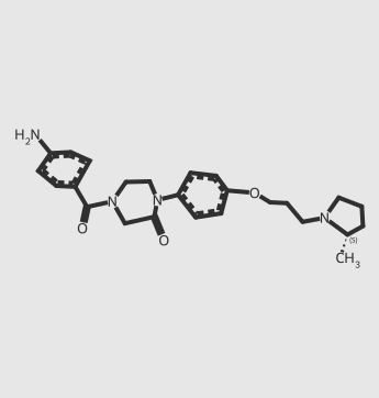 C[C@H]1CCCN1CCCOc1ccc(N2CCN(C(=O)c3ccc(N)cc3)CC2=O)cc1